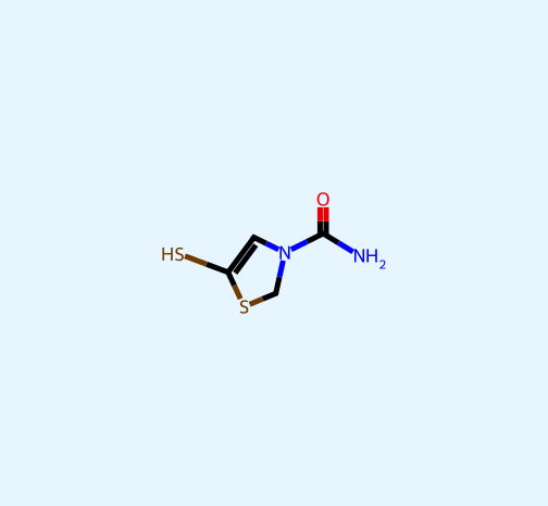 NC(=O)N1C=C(S)SC1